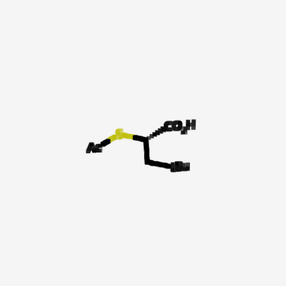 CC(=O)S[C@@H](CC(C)(C)C)C(=O)O